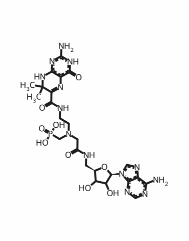 CC1(C)Nc2nc(N)[nH]c(=O)c2N=C1C(=O)NCCN(CC(=O)NC[C@H]1O[C@@H](n2cnc3c(N)ncnc32)C(O)C1O)CP(=O)(O)O